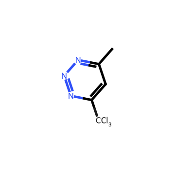 Cc1cc(C(Cl)(Cl)Cl)nnn1